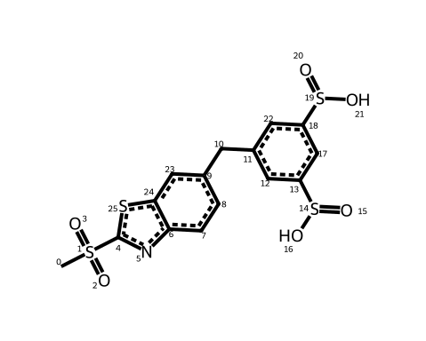 CS(=O)(=O)c1nc2ccc(Cc3cc(S(=O)O)cc(S(=O)O)c3)cc2s1